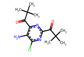 CC(C)(C)C(=O)c1nc(Cl)c(N)c(C(=O)C(C)(C)C)n1